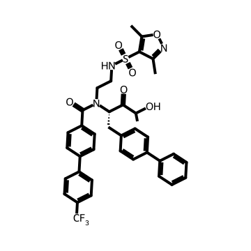 Cc1noc(C)c1S(=O)(=O)NCCN(C(=O)c1ccc(-c2ccc(C(F)(F)F)cc2)cc1)[C@@H](Cc1ccc(-c2ccccc2)cc1)C(=O)C(C)O